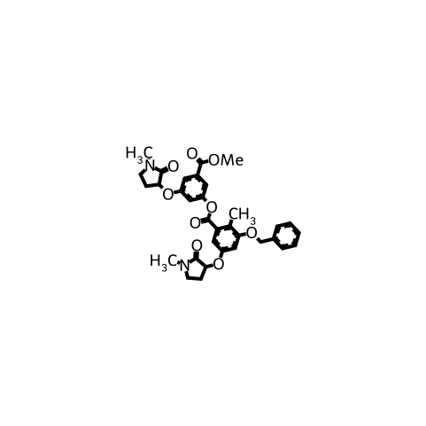 COC(=O)c1cc(OC(=O)c2cc(OC3CCN(C)C3=O)cc(OCc3ccccc3)c2C)cc(OC2CCN(C)C2=O)c1